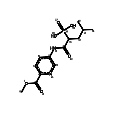 COC(=O)c1ccc(NC(=O)C(CC(C)C)P(=O)(O)O)cn1